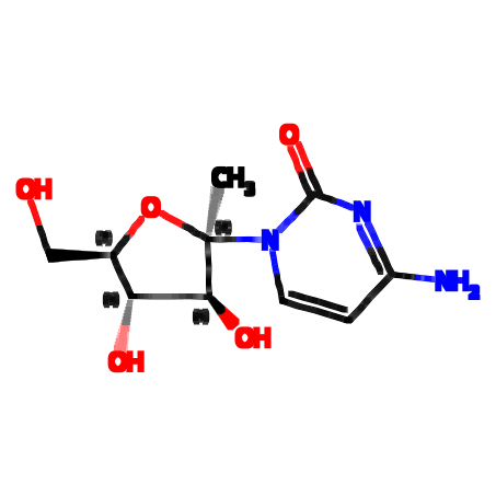 C[C@@]1(n2ccc(N)nc2=O)O[C@H](CO)[C@@H](O)[C@@H]1O